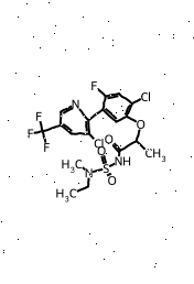 CCN(C)S(=O)(=O)NC(=O)C(C)Oc1cc(-c2ncc(C(F)(F)F)cc2Cl)c(F)cc1Cl